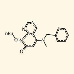 CCCCOn1c(=O)cc(N(C)Cc2ccccc2)c2cncnc21